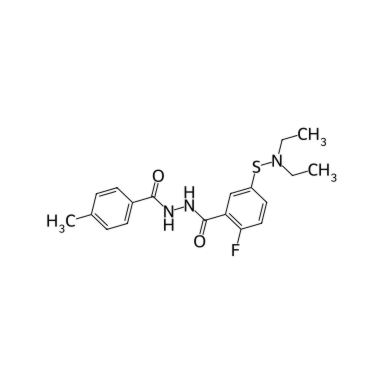 CCN(CC)Sc1ccc(F)c(C(=O)NNC(=O)c2ccc(C)cc2)c1